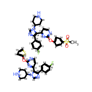 CS(=O)(=O)c1ccc(Oc2nccc(-c3c(-c4ccc(F)cc4)ncn3C3CCNCC3)n2)cc1.Fc1ccc(-c2ncn(C3CCNCC3)c2-c2ccnc(Oc3cccs3)n2)cc1